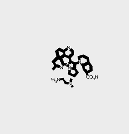 CN(C)CCN.Cc1cccc(N2C(c3ccnc4ccccc34)C(N3CC=Cc4ccc(C(=O)O)cc43)=C3CCCN32)n1